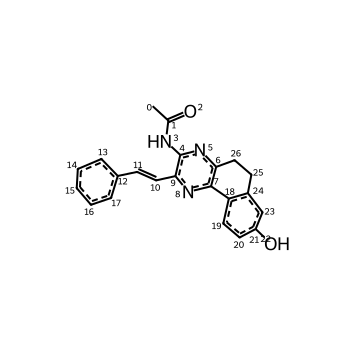 CC(=O)Nc1nc2c(nc1/C=C/c1ccccc1)-c1ccc(O)cc1CC2